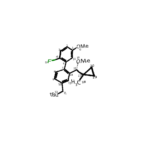 COc1ccc(F)c(-c2ccc(CC(C)(C)C)cc2[C@H](OC)C2(C)CC2)c1